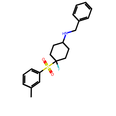 Cc1cccc(S(=O)(=O)C2(F)CCC(NCc3ccccc3)CC2)c1